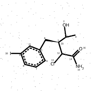 CC(O)[C@H](Cc1cccc(I)c1)C(Cl)C(N)=O